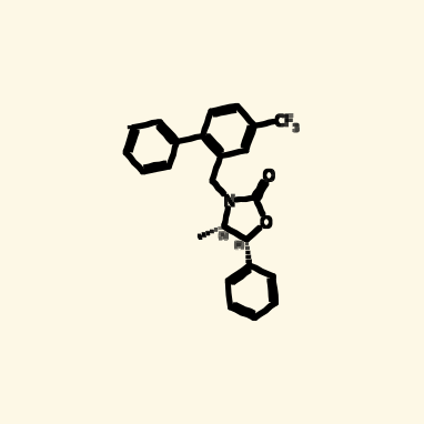 C[C@H]1[C@@H](c2ccccc2)OC(=O)N1Cc1cc(C(F)(F)F)ccc1-c1c[c]ccc1